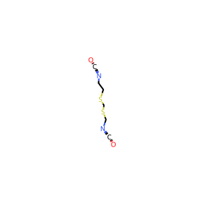 O=C=NCCSCSCN=C=O